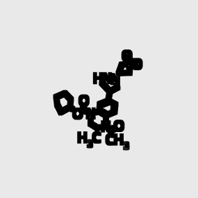 CC(=O)N1c2ccc(C3CNN(C4CS(=O)(=O)C4)C3)cc2N(C(=O)OC2CCCCC2)C[C@@H]1C